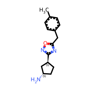 Cc1ccc(Cc2nc([C@H]3CC[C@H](N)C3)no2)cc1